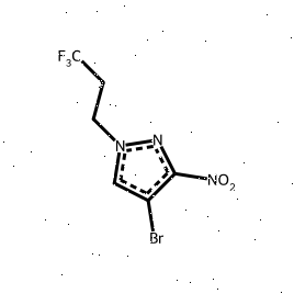 O=[N+]([O-])c1nn(CCC(F)(F)F)cc1Br